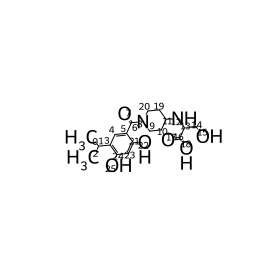 CC(C)c1cc(C(=O)N2CCC(N[C@@H](CO)C(=O)O)CC2)c(O)cc1O